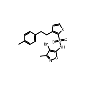 Cc1ccc(CCc2ccsc2S(=O)(=O)Nc2onc(C)c2Br)cc1